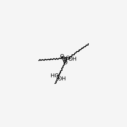 CCCCC/C=C/C/C=C/CCCCCCCC(C)(O)OC(COOCCCCCCC/C=C/CC(O)C(O)CCCCC)COC(=O)CCCCCCC/C=C/CCCCCCCC